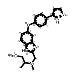 COCC(C)N(C)Cc1nc2cc(Oc3ccc(-c4ccn[nH]4)cc3)ccc2[nH]1